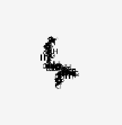 Cc1csc(-c2cccc(NC(=O)C(=O)NCC[C@H](NC(=O)c3ccc(Nc4nc(NC5(c6ccc(Cl)cc6)CC5)nc(OCC(F)(F)F)n4)cc3)C(=O)O)c2)n1